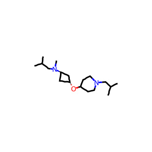 CC(C)CN1CCC(O[C@H]2C[C@H](N(C)CC(C)C)C2)CC1